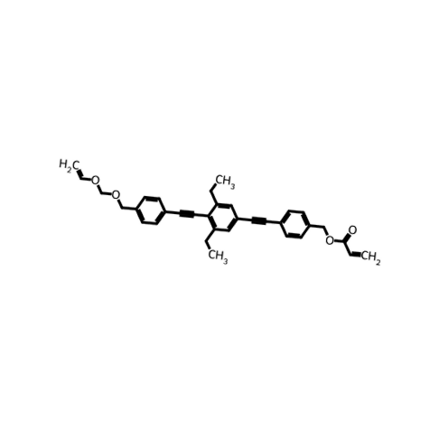 C=COCOCc1ccc(C#Cc2c(CC)cc(C#Cc3ccc(COC(=O)C=C)cc3)cc2CC)cc1